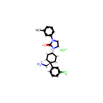 Cl.N#Cc1cccc(N2CCN([C@H]3CC[C@@](CN)(c4cccc(Cl)c4)CC3)C2=O)c1